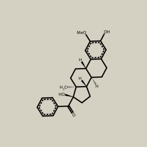 COc1cc2c(cc1O)CC[C@@H]1[C@@H]2CC[C@@]2(C)[C@H]1CC[C@]2(O)C(=O)c1ccccc1